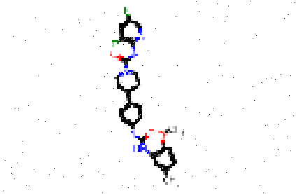 COc1ccc(C)cc1NC(=O)Nc1ccc(C2CCN(C(=O)Nc3ncc(F)cc3F)CC2)cc1